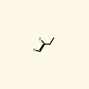 [CH2]C/C(F)=C/F